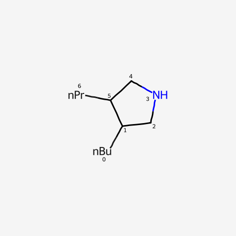 CCCCC1CNCC1CCC